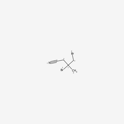 CC(Br)(CBr)CC#N